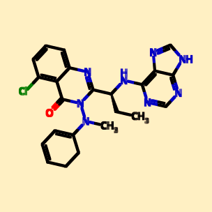 CC[C@H](Nc1ncnc2[nH]cnc12)c1nc2cccc(Cl)c2c(=O)n1N(C)C1=CC=CCC1